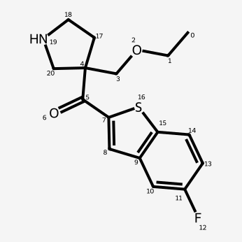 CCOCC1(C(=O)c2cc3cc(F)ccc3s2)CCNC1